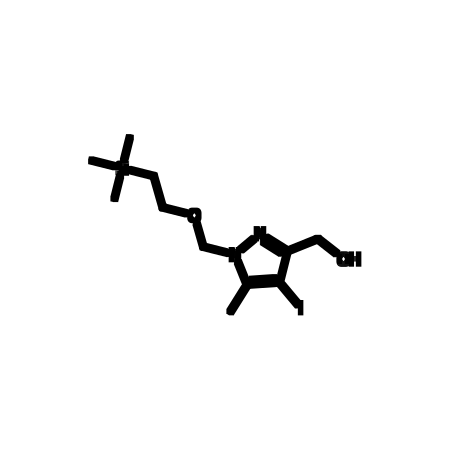 Cc1c(I)c(CO)nn1COCC[Si](C)(C)C